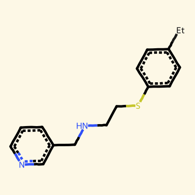 CCc1ccc(SCCNCc2cccnc2)cc1